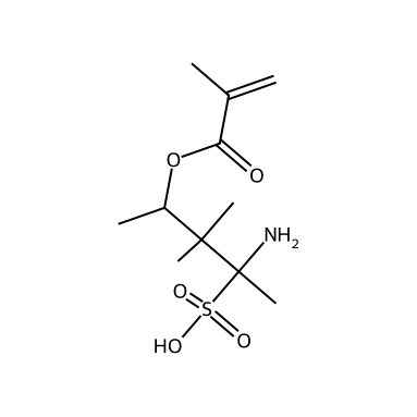 C=C(C)C(=O)OC(C)C(C)(C)C(C)(N)S(=O)(=O)O